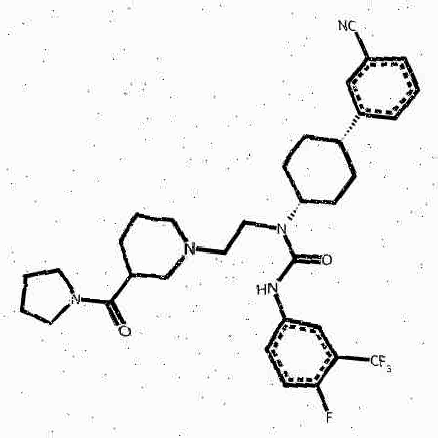 N#Cc1cccc([C@H]2CC[C@@H](N(CCN3CCCC(C(=O)N4CCCC4)C3)C(=O)Nc3ccc(F)c(C(F)(F)F)c3)CC2)c1